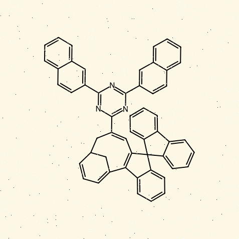 C1=CC2CC(=C1)C1=C(/C=C(/c3nc(-c4ccc5ccccc5c4)nc(-c4ccc5ccccc5c4)n3)C2)C2(c3ccccc31)c1ccccc1-c1ccccc12